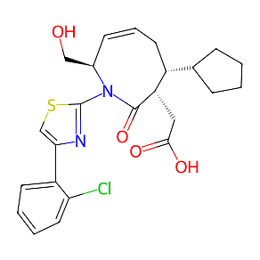 O=C(O)C[C@@H]1C(=O)N(c2nc(-c3ccccc3Cl)cs2)[C@@H](CO)C=CC[C@@H]1C1CCCC1